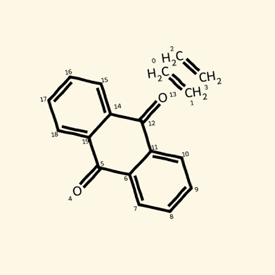 C=C.C=C.O=C1c2ccccc2C(=O)c2ccccc21